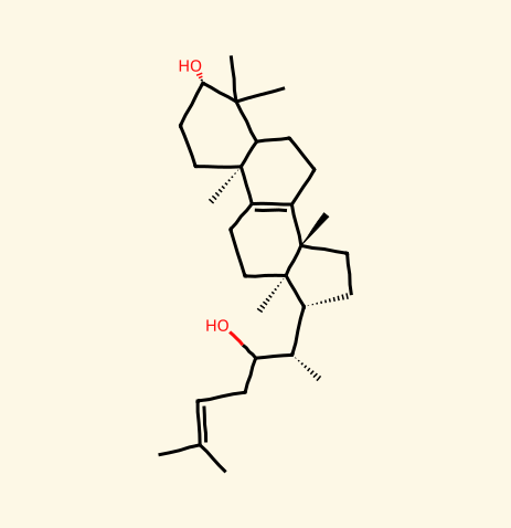 CC(C)=CCC(O)[C@@H](C)[C@H]1CC[C@@]2(C)C3=C(CC[C@]12C)[C@@]1(C)CC[C@H](O)C(C)(C)C1CC3